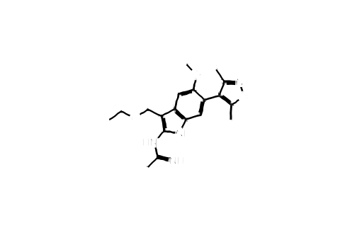 CCOCc1c(NC(C)=N)[nH]c2cc(-c3c(C)noc3C)c(OC)cc12